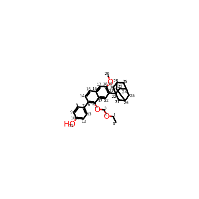 CCOCOc1c(-c2ccc(O)cc2)ccc2cc(OC)c(C34CC5CC(CC(C5)C3)C4)cc12